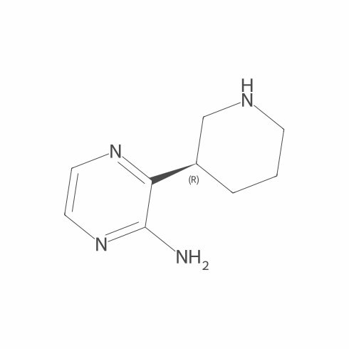 Nc1nccnc1[C@@H]1CCCNC1